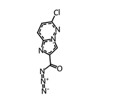 [N-]=[N+]=NC(=O)c1cn2nc(Cl)ccc2n1